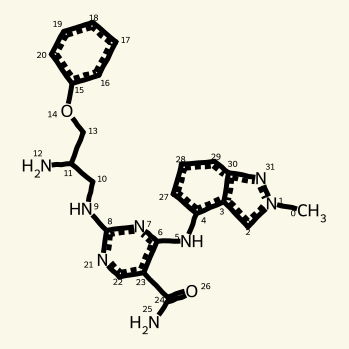 Cn1cc2c(Nc3nc(NCC(N)COc4ccccc4)ncc3C(N)=O)cccc2n1